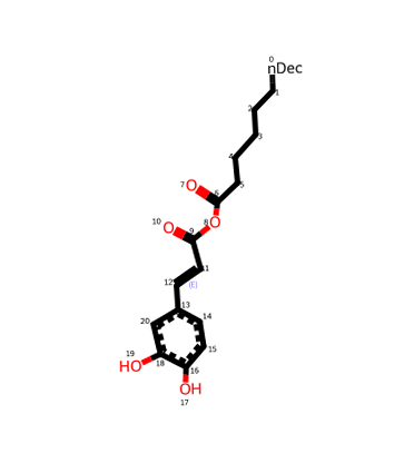 CCCCCCCCCCCCCCCC(=O)OC(=O)/C=C/c1ccc(O)c(O)c1